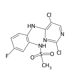 CS(=O)(=O)Nc1cc(F)ccc1Nc1nc(Cl)ncc1Cl